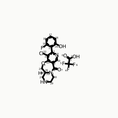 O=C(O)C(F)(F)F.O=C1c2cnc(-c3c(O)cccc3F)c(Cl)c2OC[C@@H]2CNCCN12